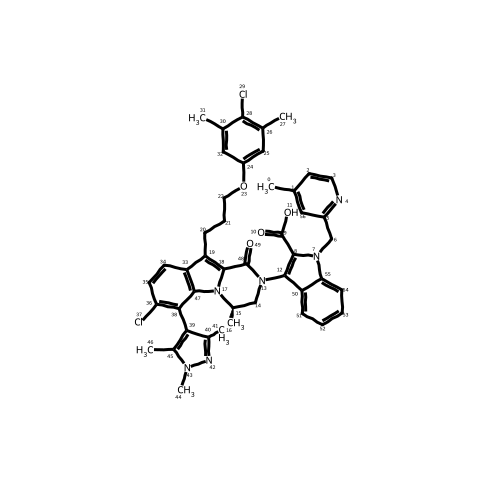 Cc1ccnc(Cn2c(C(=O)O)c(N3C[C@@H](C)n4c(c(CCCOc5cc(C)c(Cl)c(C)c5)c5ccc(Cl)c(-c6c(C)nn(C)c6C)c54)C3=O)c3ccccc32)c1